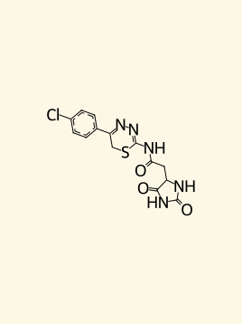 O=C(CC1NC(=O)NC1=O)NC1=NN=C(c2ccc(Cl)cc2)CS1